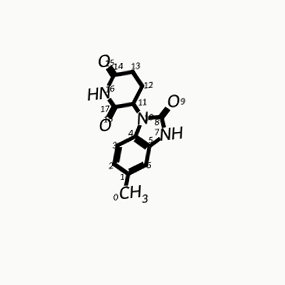 Cc1ccc2c(c1)[nH]c(=O)n2C1CCC(=O)NC1=O